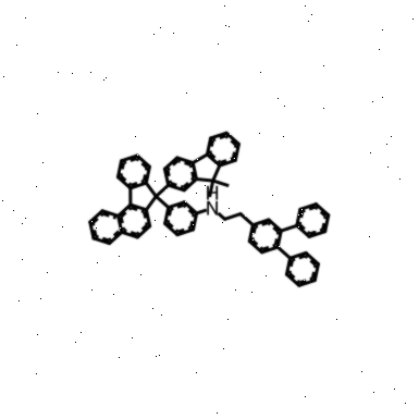 CC1(C)c2ccccc2-c2ccc(C3(c4cccc(NCCc5ccc(-c6ccccc6)c(-c6ccccc6)c5)c4)c4ccccc4-c4c3ccc3ccccc43)cc21